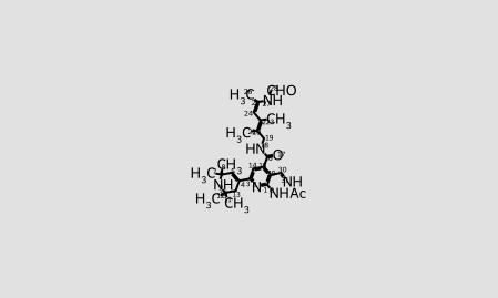 CC(=O)Nc1nc(C2=CC(C)(C)NC(C)(C)C2)cc(C(=O)NC/C(C)=C(C)/C=C(/C)NC=O)c1C=N